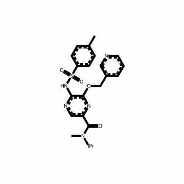 Cc1ccc(S(=O)(=O)Nc2ncc(C(=O)N(C)C(C)C)nc2OCc2cccnc2)cc1